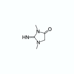 CN1CC(=O)N(C)C1=N